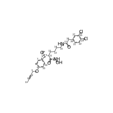 CC#CCOc1ccc([S+]([O-])C(CCCCNC(=O)Cc2ccc(Cl)c(Cl)c2)C(=O)NO)cc1